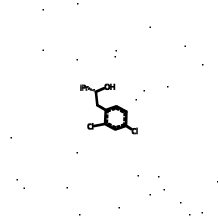 CC(C)[C@H](O)Cc1ccc(Cl)cc1Cl